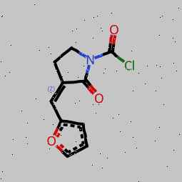 O=C(Cl)N1CC/C(=C/c2ccco2)C1=O